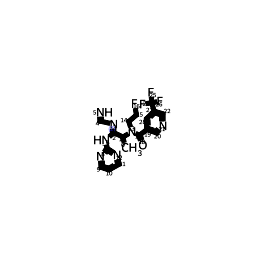 CC(/C(=N/C=N)Nc1ncccn1)N(CCF)C(=O)c1cncc(C(F)(F)F)c1